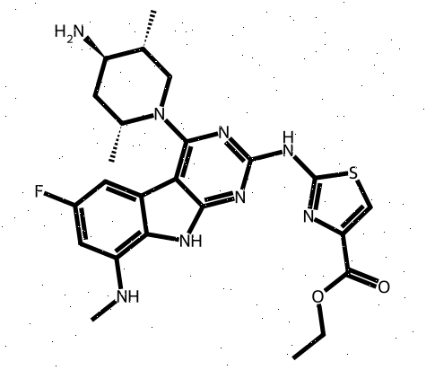 CCOC(=O)c1csc(Nc2nc(N3C[C@@H](C)[C@H](N)C[C@H]3C)c3c(n2)[nH]c2c(NC)cc(F)cc23)n1